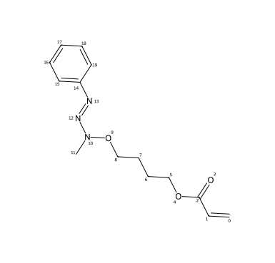 C=CC(=O)OCCCCON(C)N=Nc1ccccc1